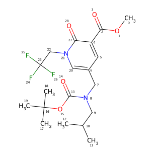 COC(=O)c1cc(CN(CC(C)C)C(=O)OC(C)(C)C)cn(CC(F)(F)F)c1=O